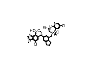 CC[C@@H]1CN(Cc2cc([C@H](CC(=O)O)c3cc(Cl)c4c(nnn4C)c3C)cc3c2CCC3)S(=O)(=O)c2cc(Cl)cnc2O1